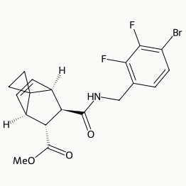 COC(=O)[C@H]1[C@H](C(=O)NCc2ccc(Br)c(F)c2F)[C@@H]2C=C[C@H]1C21CC1